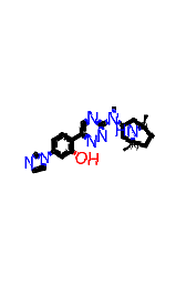 CN(c1ncc(-c2ccc(-n3ccnc3)cc2O)nn1)C1C[C@]2(C)CC[C@](C)(C1)N2